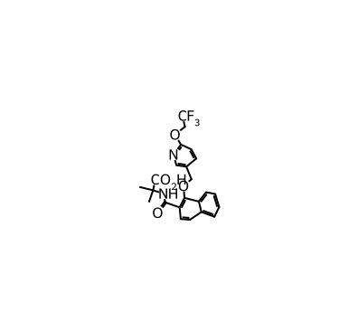 CC(C)(NC(=O)c1ccc2ccccc2c1OCc1ccc(OCC(F)(F)F)nc1)C(=O)O